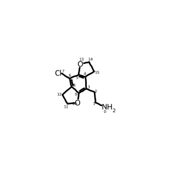 NCCc1c2c(c(Cl)c3c1OCC3)OCC2